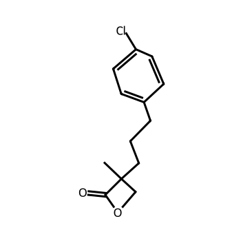 CC1(CCCc2ccc(Cl)cc2)COC1=O